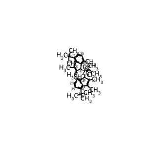 CC1=C(C)[CH]([Zr]([Cl])([Cl])([CH]2C(C)=C(C)c3c(C(C)(C)C)ccc(C)c32)=[Si](C)C)c2c(C)ccc(C(C)(C)C)c21